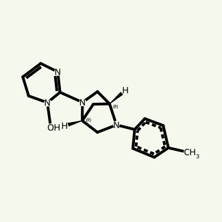 Cc1ccc(N2C[C@H]3C[C@@H]2CN3C2=NC=CCN2O)cc1